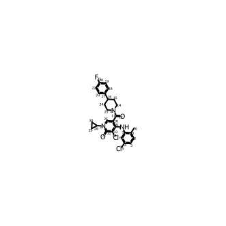 Cc1ccc(Cl)cc1Nc1c(C(=O)N2CCC(c3ccc(F)cc3)CC2)cn(C2CC2)c(=O)c1Cl